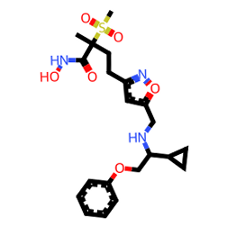 CC(CCc1cc(CNC(COc2ccccc2)C2CC2)on1)(C(=O)NO)S(C)(=O)=O